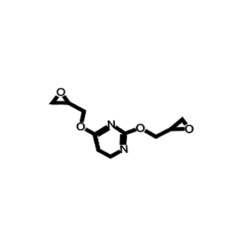 C1CC(OCC2CO2)=NC(OCC2CO2)=N1